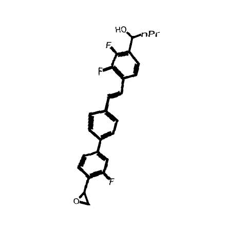 CCCC(O)c1ccc(/C=C/c2ccc(-c3ccc(C4CO4)c(F)c3)cc2)c(F)c1F